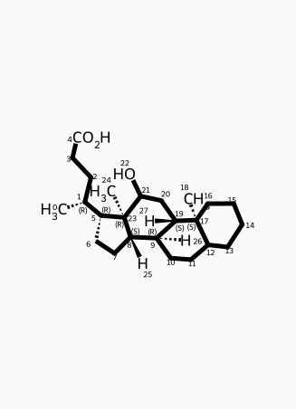 C[C@H](CCC(=O)O)[C@H]1CC[C@H]2[C@@H]3CCC4CCCC[C@]4(C)[C@H]3CC(O)[C@]12C